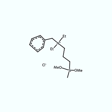 CC[N+](CC)(CCC[Si](C)(OC)OC)Cc1ccccc1.[Cl-]